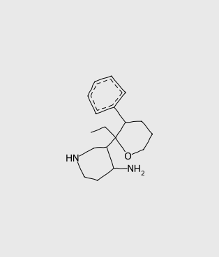 CCC1(C2CNCCC2N)OCCCC1c1ccccc1